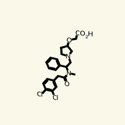 CN(C(=O)Cc1ccc(Cl)c(Cl)c1)C(CN1CCC(OCC(=O)O)C1)c1ccccc1